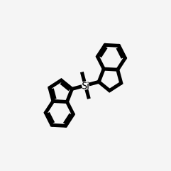 C[Si](C)(C1=CC=C2C=CC=CC21)C1CCC2C=CC=CC21